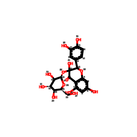 O=C1c2c(O)cc(O)cc2OC(c2ccc(O)c(O)c2)C1(O)O[C@@H]1O[C@H](CO)[C@@H](O)[C@H](O)[C@H]1O